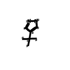 CC(C)(C)C1=C[N]N=C1